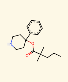 CCCC(C)(C)C(=O)OC1(c2ccccc2)CCNCC1